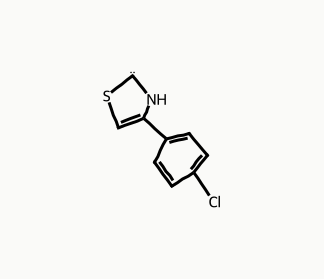 Clc1ccc(C2=CS[C]N2)cc1